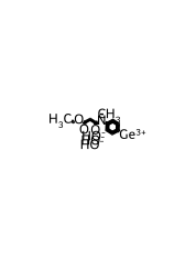 CCOC(=O)CC(=O)N(C)c1cc[c]([Ge+3])cc1.[OH-].[OH-].[OH-]